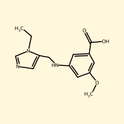 CCn1cncc1CNc1cc(OC)cc(C(=O)O)c1